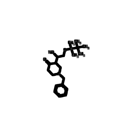 CC(C)(C)[Si](C)(C)OCC(O)C1CN(Cc2ccccc2)CCC1=O